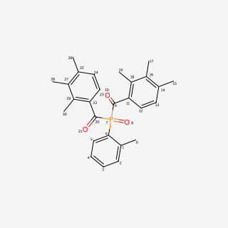 Cc1ccccc1P(=O)(C(=O)c1ccc(C)c(C)c1C)C(=O)c1ccc(C)c(C)c1C